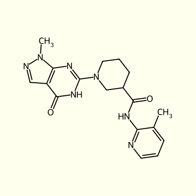 Cc1cccnc1NC(=O)C1CCCN(c2nc3c(cnn3C)c(=O)[nH]2)C1